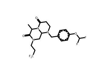 CC1C(=O)N(CCC(F)(F)F)CC2N(Cc3ccc(OC(F)F)cc3)CCC(=O)N12